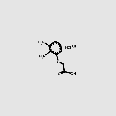 Cl.Cl.Nc1cccc(OCC(=O)O)c1N